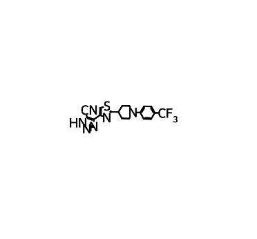 N#Cc1[nH]nnc1-c1csc(C2CCN(c3ccc(C(F)(F)F)cc3)CC2)n1